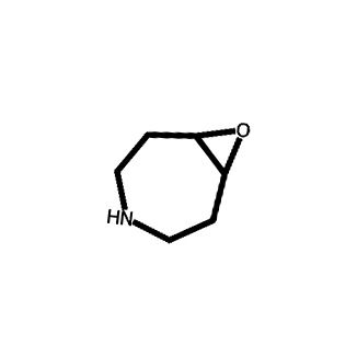 C1CC2OC2CCN1